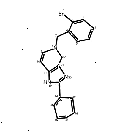 Brc1ccccc1CN1C=Cc2[nH]c(-c3ccccc3)nc2C1